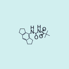 CC(C)(C)S(=O)(=O)NC(=O)Nc1c2c(cc3c1CCC3)CCC2